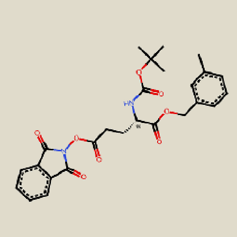 Cc1cccc(COC(=O)[C@H](CCC(=O)ON2C(=O)c3ccccc3C2=O)NC(=O)OC(C)(C)C)c1